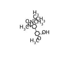 COc1ccc(-c2ccc3c(c2)n(C)c(=O)n3CC(C)(C)C)cc1CO